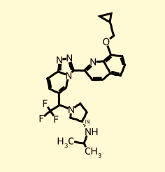 CC(C)N[C@H]1CCN(C(c2ccc3nnc(-c4ccc5cccc(OCC6CC6)c5n4)n3c2)C(F)(F)F)C1